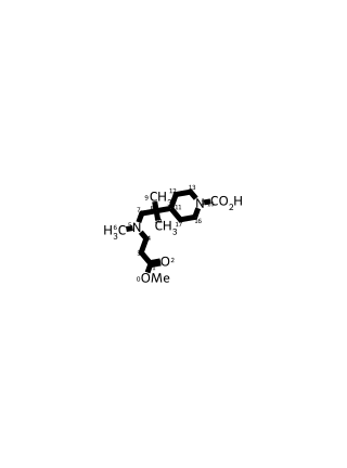 COC(=O)CCN(C)CC(C)(C)C1CCN(C(=O)O)CC1